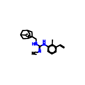 C=Cc1cccc(N/C(=N/C#N)NCC23CC4CC(CC2C4)C3)c1C